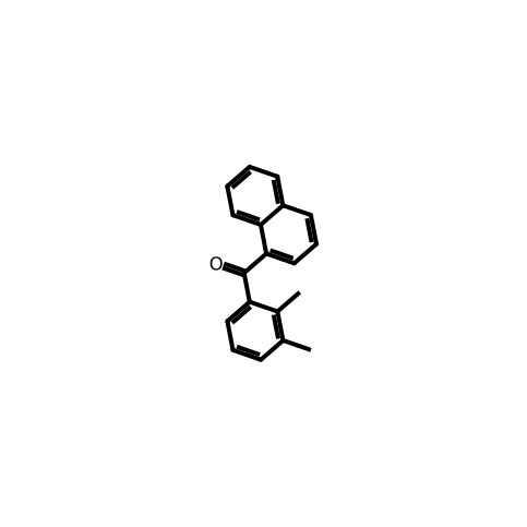 Cc1cccc(C(=O)c2cccc3ccccc23)c1C